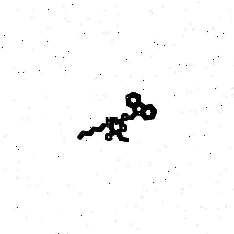 CCCCCC[C@H](NC(=O)OCC1c2ccccc2-c2ccccc21)C(=O)SCC